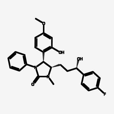 COc1ccc([C@@H]2[C@H](CC[C@H](O)c3ccc(F)cc3)N(C)C(=O)N2c2ccccc2)c(O)c1